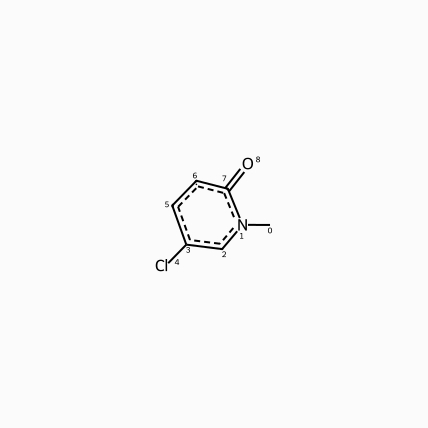 Cn1cc(Cl)c[c]c1=O